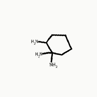 NC1CCCCC1(N)N